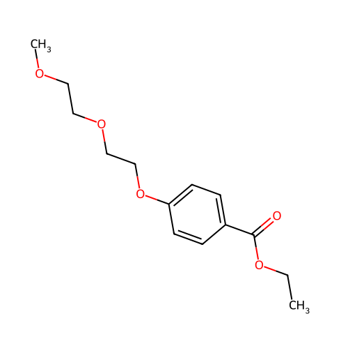 CCOC(=O)c1ccc(OCCOCCOC)cc1